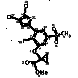 COC(=O)C1(Oc2nc(S(C)(=O)=O)nc(-c3cc(Cl)c(Cl)s3)c2F)CC1